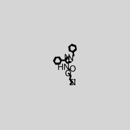 C[Si](C)(C)CCOC(=O)Nc1cn(Cc2ccccc2)nc1-c1ccccc1